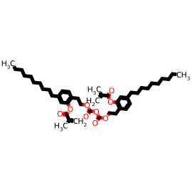 C=C(C)C(=O)Oc1cc(CCCCCCCCCC)ccc1CCOC(=O)OC(=O)OCCc1ccc(CCCCCCCCCC)cc1OC(=O)C(=C)C